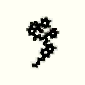 C#CCOc1ccc2c(OCC(COC(=O)C3CCC(=O)N3C(=O)C(=O)c3ccccc3)Cc3cccnc3)cccc2c1